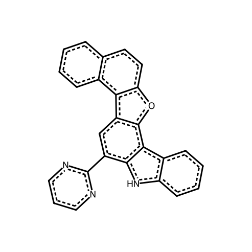 c1cnc(-c2cc3c(oc4ccc5ccccc5c43)c3c2[nH]c2ccccc23)nc1